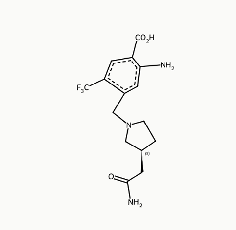 NC(=O)C[C@@H]1CCN(Cc2cc(N)c(C(=O)O)cc2C(F)(F)F)C1